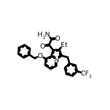 CCc1c(C(=O)C(N)=O)c2c(OCc3ccccc3)cccn2c1Cc1cccc(C(F)(F)F)c1